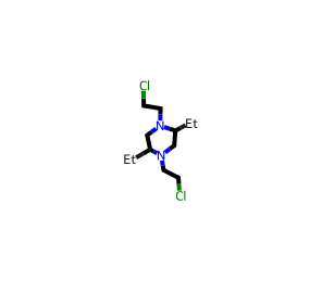 CCC1CN(CCCl)C(CC)CN1CCCl